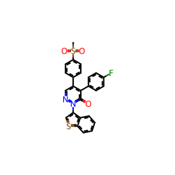 CS(=O)(=O)c1ccc(-c2cnn(-c3csc4ccccc34)c(=O)c2-c2ccc(F)cc2)cc1